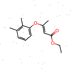 CCOC(=O)C=C(C)Oc1cccc(C)c1C